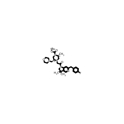 C[C@@H]1CN(CC(=O)N2CC(C)(C)c3cnc(Cc4ccc(F)cc4)cc32)[C@@H](CN2CCOCC2)CN1C(=O)OC(C)(C)C